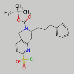 CC(C)(C)OC(=O)N1Cc2ccc(S(=O)(=O)Cl)nc2CC1CCCc1ccccc1